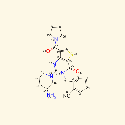 N#Cc1ccccc1Cn1c(N2CCCC(N)C2)nc2c(C(=O)N3CCCC3)csc2c1=O